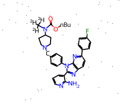 [2H]C([2H])([2H])N(C(=O)OCCCC)C1CCN(Cc2ccc(-n3c(-c4cccnc4N)nc4ccc(-c5ccc(F)cc5)nc43)cc2)CC1